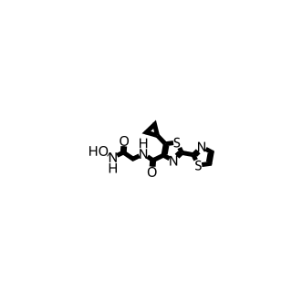 O=C(CNC(=O)c1nc(-c2nccs2)sc1C1CC1)NO